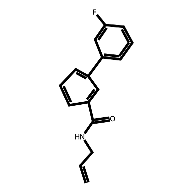 C=CCNC(=O)c1cccc(C2=C=C=CC(F)=C2)c1